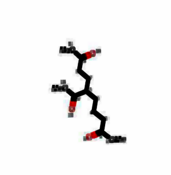 COC(=O)CCCC(CCC(=O)OC)C(=O)OC